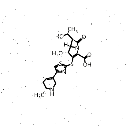 C[C@@H]1CC=C(c2csc(SC3=C(C(=O)O)N4C(=O)[C@H]([C@@H](C)O)[C@H]4[C@H]3C)n2)CN1